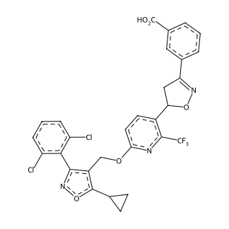 O=C(O)c1cccc(C2=NOC(c3ccc(OCc4c(-c5c(Cl)cccc5Cl)noc4C4CC4)nc3C(F)(F)F)C2)c1